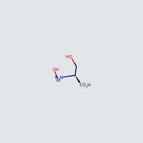 CCO.N[C@@H](CO)C(=O)O